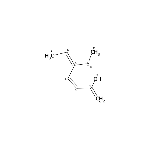 C=C(O)/C=C\C(=C/C)SC